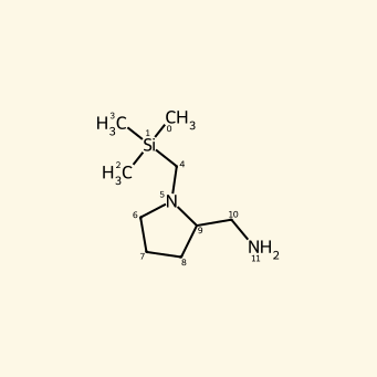 C[Si](C)(C)CN1CCCC1CN